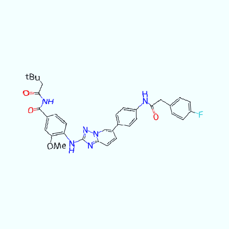 COc1cc(C(=O)NC(=O)CC(C)(C)C)ccc1Nc1nc2ccc(-c3ccc(NC(=O)Cc4ccc(F)cc4)cc3)cn2n1